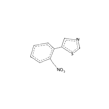 O=[N+]([O-])c1ccccc1-c1cncs1